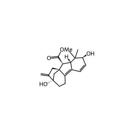 C=C1C[C@]23C[C@@]1(O)CCC2=C1C=C[C@H](O)C(C)(C)[C@H]1[C@@H]3C(=O)OC